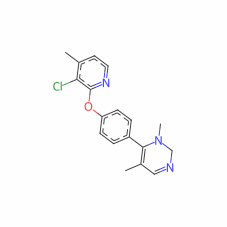 CC1=C(c2ccc(Oc3nccc(C)c3Cl)cc2)N(C)CN=C1